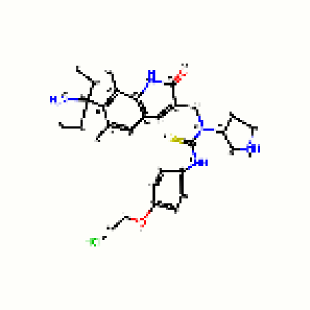 CCOc1ccc(NC(=S)N(Cc2cc3cc(C)c(C(N)(CC)CC)c(C)c3[nH]c2=O)C2CCNC2)cc1.Cl